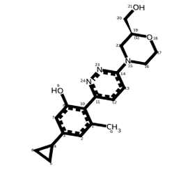 Cc1cc(C2CC2)cc(O)c1-c1ccc(N2CCO[C@H](CO)C2)nn1